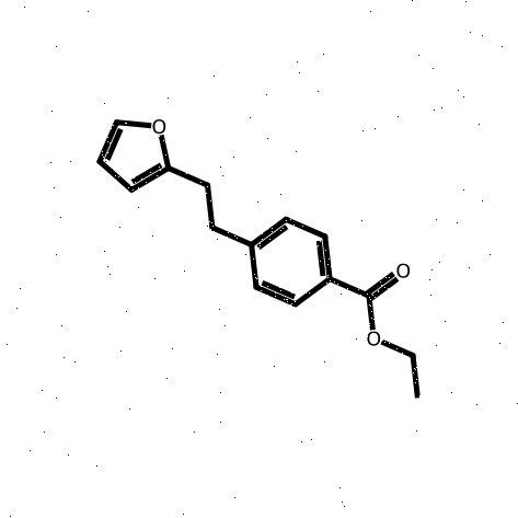 CCOC(=O)c1ccc(CCc2ccco2)cc1